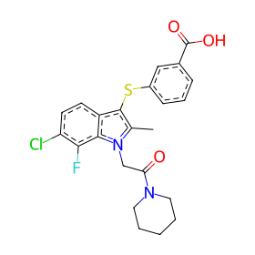 Cc1c(Sc2cccc(C(=O)O)c2)c2ccc(Cl)c(F)c2n1CC(=O)N1CCCCC1